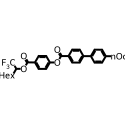 CCCCCCCCc1ccc(-c2ccc(C(=O)Oc3ccc(C(=O)OC(CCCCCC)C(F)(F)F)cc3)cc2)cc1